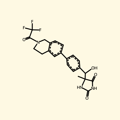 CC1(C(O)c2ccc(-c3ccc4c(c3)CCN(C(=O)C(F)(F)F)C4)cc2)NC(=O)NC1=O